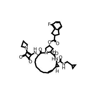 O=C(O[C@@H]1C[C@H]2C(=O)N[C@]3(C(=O)NCC4CC4)C[C@H]3/C=C\CCCCC[C@H](Nc3c(N4CCC4)c(=O)c3=O)C(=O)N2C1)C1Cc2cccc(F)c2C1